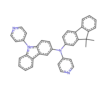 CC1(C)c2ccccc2-c2ccc(N(c3ccncc3)c3ccc4c(c3)c3ccccc3n4-c3ccncc3)cc21